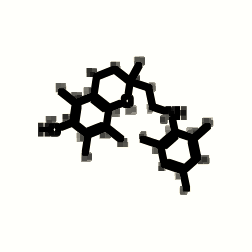 Cc1cc(C)c(NCCC2(C)CCc3c(C)c(O)c(C)c(C)c3O2)c(C)c1